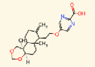 C=C1CCC2[C@]3(C)COCO[C@@H]3CC[C@@]2(C)[C@@H]1CCOc1cnc(C(=O)O)nc1